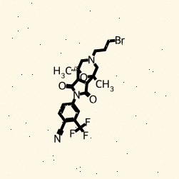 CC12CN(CCCBr)C[C@@](C)(O1)C1C(=O)N(c3ccc(C#N)c(C(F)(F)F)c3)C(=O)C12